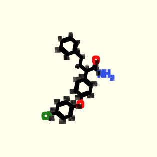 NC(=O)C(CCc1ccccc1)c1ccc(Oc2ccc(Cl)cc2)cc1